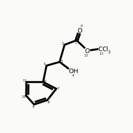 O=C(CC(O)Cc1ccccc1)OC(Cl)(Cl)Cl